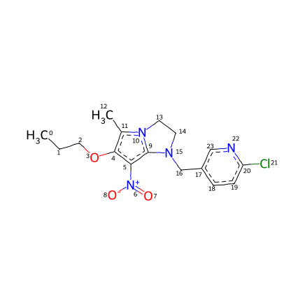 CCCOc1c([N+](=O)[O-])c2n(c1C)CCN2Cc1ccc(Cl)nc1